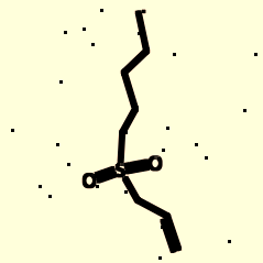 [CH2]CCCCS(=O)(=O)CC=C